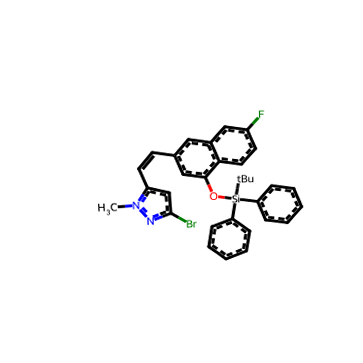 Cn1nc(Br)cc1/C=C\c1cc(O[Si](c2ccccc2)(c2ccccc2)C(C)(C)C)c2ccc(F)cc2c1